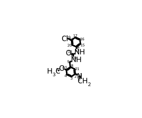 C=Nc1ccc(OC)c(CNC(=O)Nc2cccc(Cl)c2)c1